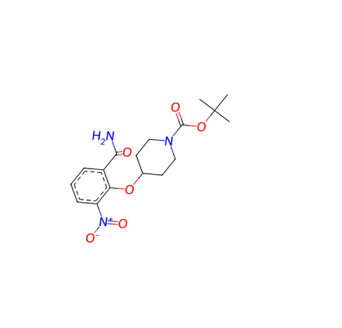 CC(C)(C)OC(=O)N1CCC(Oc2c(C(N)=O)cccc2[N+](=O)[O-])CC1